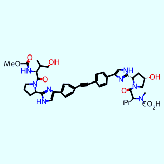 COC(=O)N[C@H](C(=O)N1CCCC1c1nc(-c2ccc(C#Cc3ccc(-c4c[nH]c([C@@H]5C[C@H](O)CN5C(=O)[C@H](C(C)C)N(C)C(=O)O)n4)cc3)cc2)c[nH]1)C(C)CO